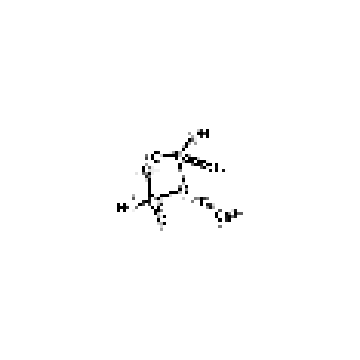 O=P([O-])(O)OP(=O)(O)O.[Ca+2].[Cl-]